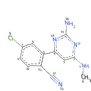 CNc1cc(-c2cc(Cl)ccc2C#N)nc(N)n1